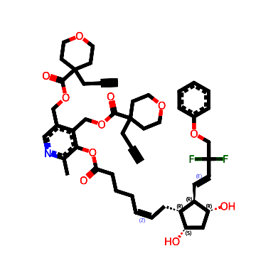 C#CCC1(C(=O)OCc2cnc(C)c(OC(=O)CCC/C=C\C[C@@H]3[C@@H](/C=C/C(F)(F)COc4ccccc4)[C@H](O)C[C@@H]3O)c2COC(=O)C2(CC#C)CCOCC2)CCOCC1